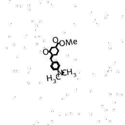 COC(=O)C1CC/C(=C\c2ccc(N(C)C)cc2)C(=O)C1